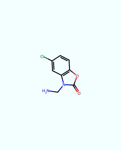 NCn1c(=O)oc2ccc(Cl)cc21